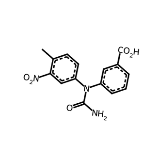 Cc1ccc(N(C(N)=O)c2cccc(C(=O)O)c2)cc1[N+](=O)[O-]